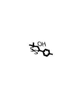 Cc1ccc(C2SSC(C)(C)C2O)cc1